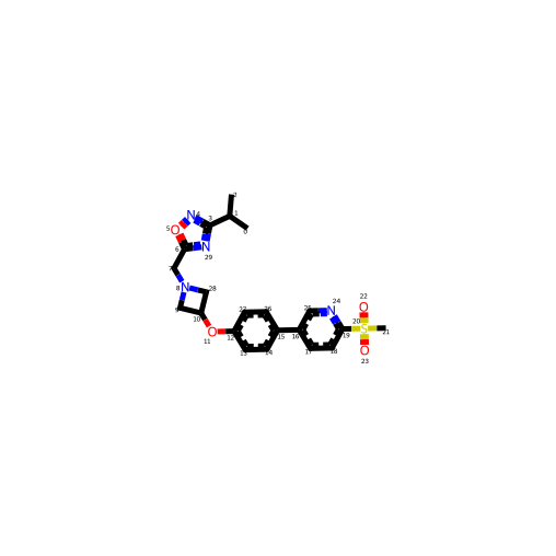 CC(C)c1noc(CN2CC(Oc3ccc(-c4ccc(S(C)(=O)=O)nc4)cc3)C2)n1